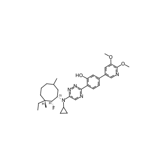 CC[C@]1(C)CCCC(C)C[C@H](N(c2cnc(-c3ccc(-c4cnc(OC)c(OC)c4)cc3O)nn2)C2CC2)[C@@H]1F